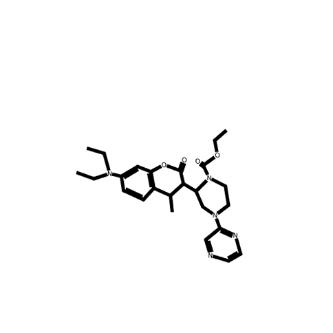 CCOC(=O)N1CCN(c2cnccn2)CC1C1C(=O)Oc2cc(N(CC)CC)ccc2C1C